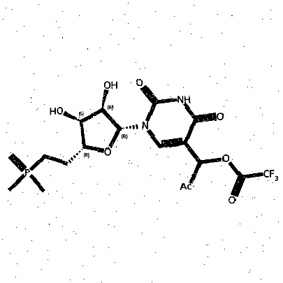 C=P(C)(C)CC[C@H]1O[C@@H](n2cc(C(OC(=O)C(F)(F)F)C(C)=O)c(=O)[nH]c2=O)[C@H](O)[C@@H]1O